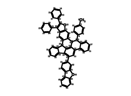 Cc1ccc(N2B3c4cc5oc(-c6ccccc6)c(-c6ccccc6)c5cc4-n4c5ccccc5c5c(-c6ccc7c(c6)oc6ccccc67)cc(c3c54)-c3ccccc32)cc1